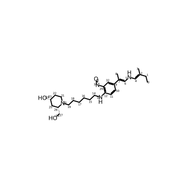 CC/C(C)=C/N/C=C(\C)c1ccc(NCCCCCCN2CC[C@@H](O)C[C@H]2CO)c(N=O)c1